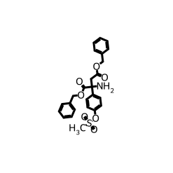 CS(=O)(=O)Oc1ccc(C(N)(CC(=O)OCc2ccccc2)C(=O)OCc2ccccc2)cc1